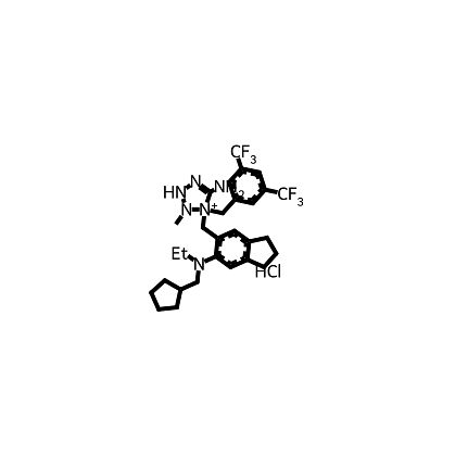 CCN(CC1CCCC1)c1cc2c(cc1C[N+]1(Cc3cc(C(F)(F)F)cc(C(F)(F)F)c3)C(N)=NNN1C)CCC2.Cl